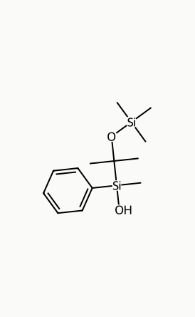 CC(C)(O[Si](C)(C)C)[Si](C)(O)c1ccccc1